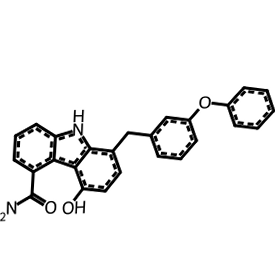 NC(=O)c1cccc2[nH]c3c(Cc4cccc(Oc5ccccc5)c4)ccc(O)c3c12